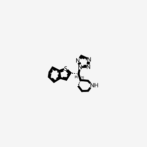 c1ccc2sc([C@@H]([C@H]3CCCNC3)n3ncnn3)cc2c1